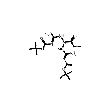 CCC(=O)N(NC(N)=NC(=O)OC(C)(C)C)NC(N)=NC(=O)OC(C)(C)C